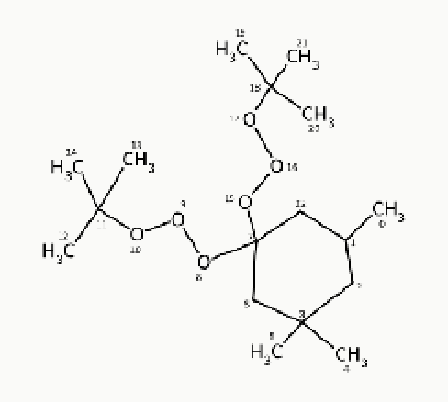 CC1CC(C)(C)CC(OOOC(C)(C)C)(OOOC(C)(C)C)C1